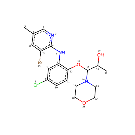 Cc1cnc(Nc2cc(Cl)ccc2OC(C(C)O)N2CCOCC2)c(Br)c1